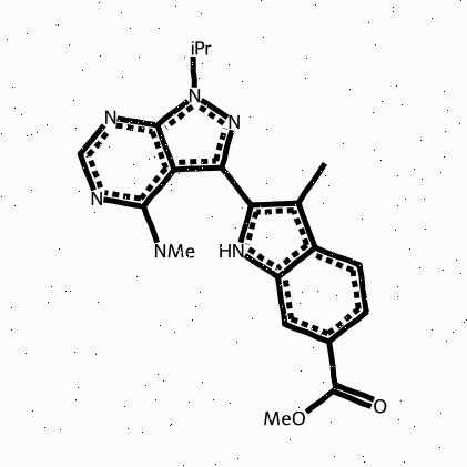 CNc1ncnc2c1c(-c1[nH]c3cc(C(=O)OC)ccc3c1C)nn2C(C)C